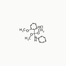 COc1ccccc1C(Nc1ccccc1)(OC)OC.Cl